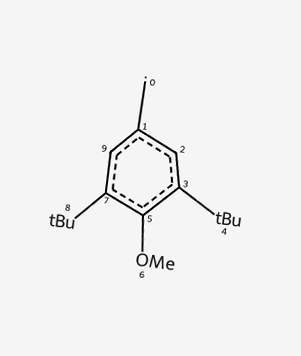 [CH2]c1cc(C(C)(C)C)c(OC)c(C(C)(C)C)c1